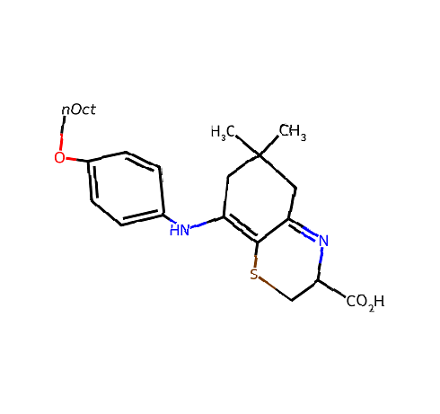 CCCCCCCCOc1ccc(NC2=C3SCC(C(=O)O)N=C3CC(C)(C)C2)cc1